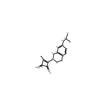 Cc1c(N2CCc3ccc(CC(C)C)cc3C2)c(=O)c1=O